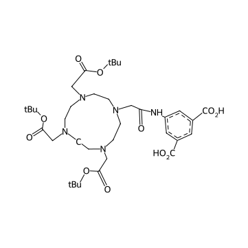 CC(C)(C)OC(=O)CN1CCN(CC(=O)Nc2cc(C(=O)O)cc(C(=O)O)c2)CCN(CC(=O)OC(C)(C)C)CCN(CC(=O)OC(C)(C)C)CC1